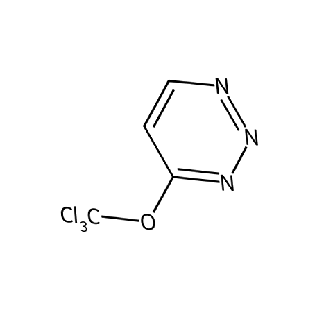 ClC(Cl)(Cl)Oc1ccnnn1